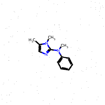 Cc1cnc(N(C)c2ccccc2)n1C